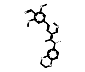 C\N=C/C(/C=C/c1cc(OC)c(C=O)c(OC)c1)=C(/C)[C@H](C)c1ccc2c(c1)OCCO2